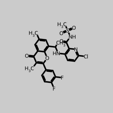 Cc1cc(C(C)Nc2ccc(Cl)nc2C(=O)NS(C)(=O)=O)c2oc(-c3ccc(F)c(F)c3)c(C)c(=O)c2c1